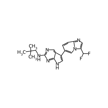 CC(C)(C)CNc1ncc2c(-c3ccc4ncc(C(F)F)n4c3)c[nH]c2n1